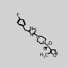 Cc1oncc1S(=O)(=O)N1CCN(c2nc(Cc3ccc(F)cc3)ns2)CC1